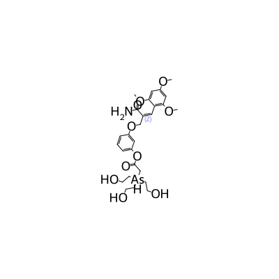 COc1cc(OC)c(/C=C(/COc2cccc(OC(=O)C[AsH](CCO)(CCO)CCO)c2)C(N)=O)c(OC)c1